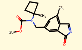 CC(C)(C)OC(=O)N(Cc1cc2c(c(C(F)(F)F)c1)C=NC2=O)C1(C)CCC1